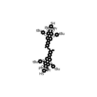 C=Cc1cc2cc3c(cc2cc1CCc1cc2cc4c(cc2cc1C)-c1ccc2c5c(Oc6ccc(C(C)(C)C)cc6)cc6c7c(cc(Oc8ccc(C(C)(C)C)cc8)c(c8ccc-4c1c28)c75)C(=O)N(c1c(C(C)C)cc(S)cc1C(C)C)C6=O)C1=CC=C2c4c(Oc5ccc(C(C)(C)C)cc5)cc5c6c(cc(Oc7ccc(C(C)(C)C)cc7)c(c46)C4=CC=C3C1C42)C(=O)N(c1c(C(C)C)cc(S)cc1C(C)C)C5=O